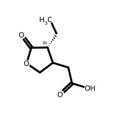 CC[C@H]1C(=O)OCC1CC(=O)O